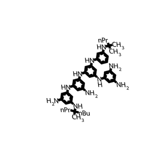 CCCCC(C)(CCC)Nc1cc(N)cc(Nc2cc(N)cc(Nc3cc(Nc4cc(N)cc(N)c4)cc(Nc4cccc(NC(C)(C)CCC)c4)c3)c2)c1